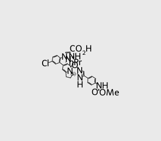 CCC[N+]1(C)NC(C(=O)O)=CN1c1ccc(Cl)cc1-c1cc2n(c(=O)c1)[C@H](c1ncc(-c3ccc(NC(=O)OC)cc3)[nH]1)CC2